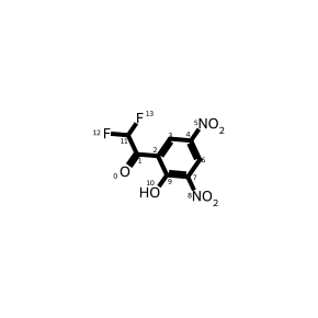 O=C(c1cc([N+](=O)[O-])cc([N+](=O)[O-])c1O)C(F)F